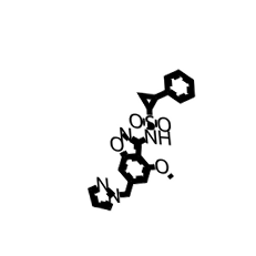 COc1cc(Cn2cccn2)cc2onc(NS(=O)(=O)C3CC3c3ccccc3)c12